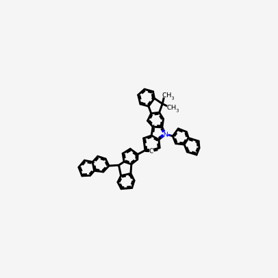 CC1(C)c2ccccc2-c2cc3c4cc(-c5ccc6c(c5)-c5ccccc5C6c5ccc6ccccc6c5)ccc4n(-c4ccc5ccccc5c4)c3cc21